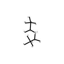 CC(SC(C)C(C)(C)C)C(C)(C)C